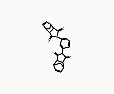 O=C1C(c2cccc(N3C(=O)C4C5C=CC(C5)C4C3=O)c2)C(=O)C2C3C=CC(C3)C12